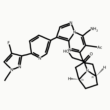 CC(=O)c1c(C2C[C@H]3CC[C@@H](C2)N3C(=O)CO)nc2c(-c3ccc(-c4nn(C)cc4F)nc3)cnn2c1N